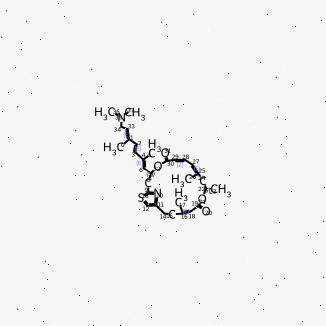 CC(/C=C/C(C)=C/[C@@H]1Cc2nc(cs2)CC/C(C)=C/C(=O)O[C@@H](C)C/C(C)=C/C=C\C(=O)O1)=C\CN(C)C